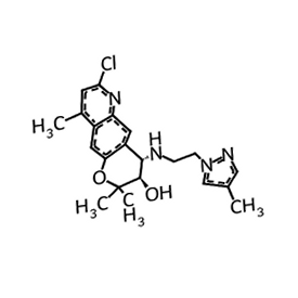 Cc1cnn(CCN[C@H]2c3cc4nc(Cl)cc(C)c4cc3OC(C)(C)[C@@H]2O)c1